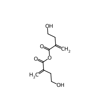 C=C(CCO)C(=O)OC(=O)C(=C)CCO